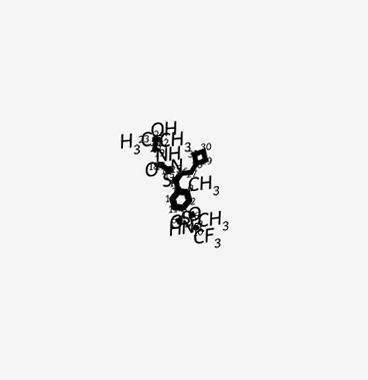 Cc1cc(S(=O)(=O)N[C@@H](C)C(F)(F)F)ccc1-c1sc(C(=O)NCC(C)(C)O)nc1CC1CCC1